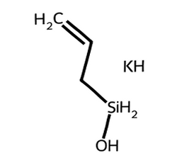 C=CC[SiH2]O.[KH]